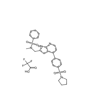 CN(Cc1cc2c(-c3ccc(S(=O)(=O)N4CCCC4)cc3)ccnc2[nH]1)S(=O)(=O)c1ccccc1.O=C(O)C(F)(F)F